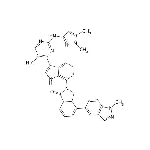 Cc1cnc(Nc2cc(C)n(C)n2)nc1-c1c[nH]c2c(N3Cc4c(cccc4-c4ccc5c(cnn5C)c4)C3=O)cccc12